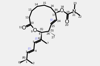 [CH2][C@H](C)/C=C/C=C(\C)[C@H]1OC(=O)CCCCC[C@@H](OC(=O)N(C)C)/C=C/[C@@H]1C